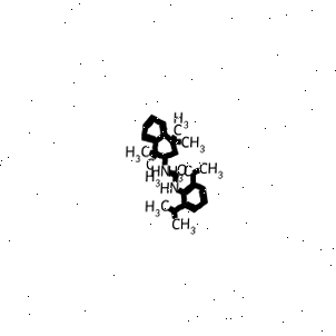 CC(C)c1cccc(C(C)C)c1NC(=O)NC1CC(C)(C)c2ccccc2C1(C)C